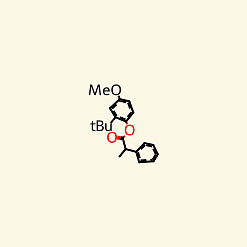 COc1ccc(OC(=O)C(C)c2ccccc2)c(C(C)(C)C)c1